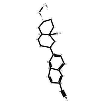 CC[C@@H]1CC[C@@H]2CC(c3ccc4cc(C#N)ccc4c3)CCC2C1